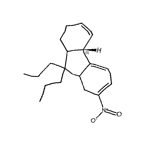 CCCC1(CCC)C2CC([N+](=O)[O-])=CC=C2[C@H]2C=CCCC21